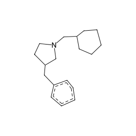 c1ccc(CC2CCN(CC3CCCCC3)C2)cc1